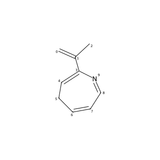 C=C(C)C1=CCC=CC=N1